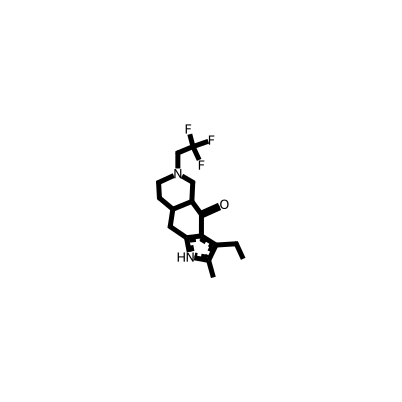 CCc1c(C)[nH]c2c1C(=O)C1CN(CC(F)(F)F)CCC1C2